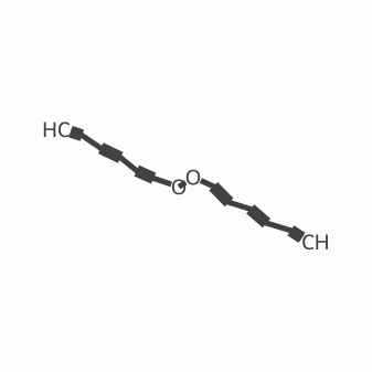 C#CC#CC#COOC#CC#CC#C